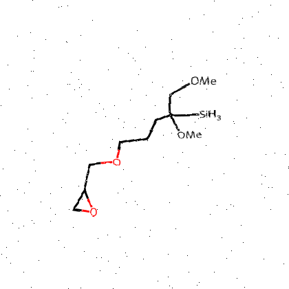 COCC([SiH3])(CCCOCC1CO1)OC